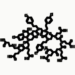 NC(=O)CC(CCC(=O)O)C(=O)CN(CCC(=O)O)C(=O)CN(CCC(=O)O)C(=O)CN(CCC(=O)O)C(=O)CN(CCc1ccc(Cl)cc1)C(=O)CN(CCc1ccc(Cl)cc1)C(=O)CN(CCc1ccc(Cl)cc1)C(=O)CN(CCc1ccc(Cl)cc1)C(=O)CN(CCC(=O)O)C(=O)CN(CCC(=O)O)C(=O)CN(CCC(=O)O)C(=O)CNCCC(=O)O